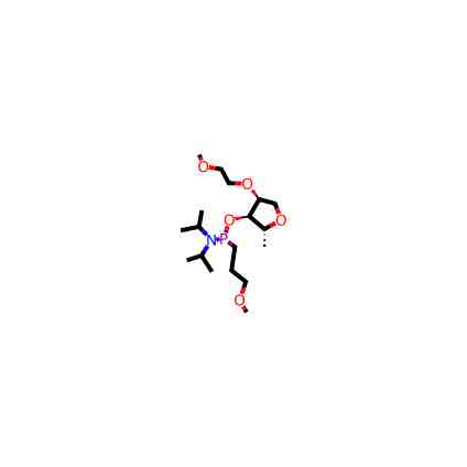 COCCCP(O[C@H]1[C@@H](OCCOC)CO[C@@H]1C)N(C(C)C)C(C)C